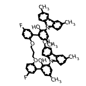 Cc1cc(-c2cc(F)ccc2OCCCOc2ccc(F)cc2-c2cc(C)cc(-n3c4ccc(C)cc4c4cc(C)ccc43)c2O)c(O)c(-n2c3ccc(C)cc3c3cc(C)ccc32)c1